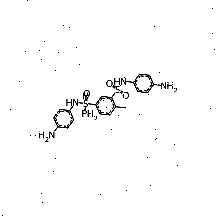 Cc1ccc([SH](=O)(P)Nc2ccc(N)cc2)cc1S(=O)(=O)Nc1ccc(N)cc1